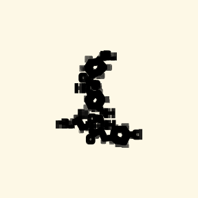 CCCCC(CC)CNC(=O)C(Cc1ccc(Cl)cc1)NC(=O)Nc1ccc(NS(=O)(=O)c2ccc(C(C)(C)C)cc2)cc1